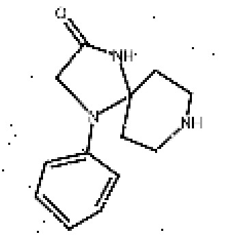 O=C1CN(c2ccccc2)C2(CCNCC2)N1